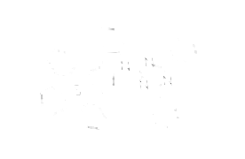 c1ccc(-c2nc(-c3ccccc3)nc(-n3c4ccccc4c4cc(S(c5ccccc5)(c5ccccc5)c5ccccc5)ccc43)n2)cc1